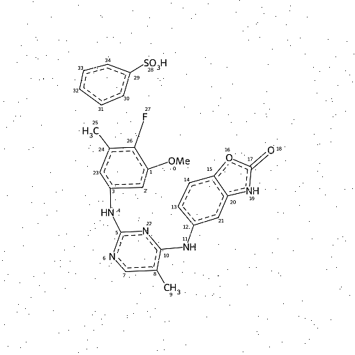 COc1cc(Nc2ncc(C)c(Nc3ccc4oc(=O)[nH]c4c3)n2)cc(C)c1F.O=S(=O)(O)c1ccccc1